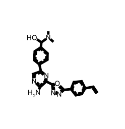 C=Cc1ccc(-c2nnc(-c3nc(-c4ccc(C(O)N(C)C)cc4)cnc3N)o2)cc1